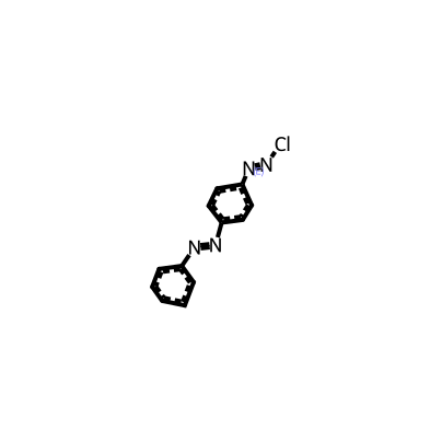 Cl/N=N/c1ccc(N=Nc2ccccc2)cc1